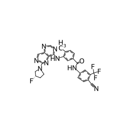 Cc1ccc(C(=O)Nc2ccc(C#N)c(C(F)(F)F)c2)cc1Nc1ncnc2cnc(N3CC[C@H](F)C3)nc12